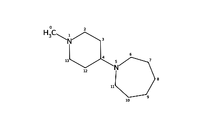 CN1CCC(N2CCCCCC2)CC1